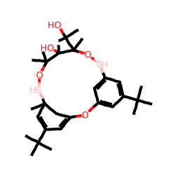 CC12BOC(C)(C)C(C)(O)C(C)(C(C)(C)O)OBc3cc(cc(C(C)(C)C)c3)OC(=CC(C(C)(C)C)=C1)C2